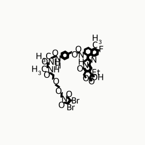 CC[C@@]1(O)C(=O)OCc2c1cc1n(c2=O)Cc2c-1nc1cc(F)c(C)c3c1c2C(NC(=O)OCc1ccc(NC(=O)[C@H](C)NC(=O)[C@H](C)NC(=O)CCOCCOCCN2C(=O)C(Br)=C(Br)C2=O)cc1)CC3